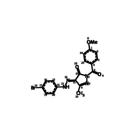 COc1ccc(C(=O)N2N=C(C)/C(=N\Nc3ccc(Br)cc3)C2=O)cc1